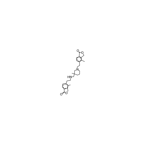 Cc1c(CCNCC2(C)CCCN(CCc3ccc4c(c3C)COC4=O)C2)ccc2c1COC2=O